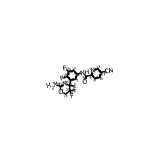 CC1(c2cc(NC(=O)c3ccc(C#N)cn3)cc(F)c2F)N=C(N)OCC1(F)F